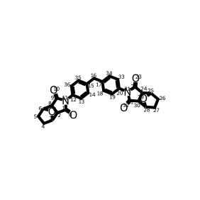 O=C1C2C3CCC(O3)C2C(=O)N1c1ccc(Cc2ccc(N3C(=O)C4C5CCC(O5)C4C3=O)cc2)cc1